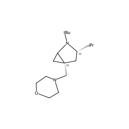 CC(C)[C@@H]1C[C@@]2(CN3CCOCC3)CC2N1C(C)(C)C